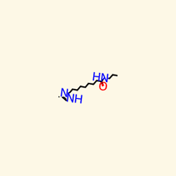 CCCNC(=O)CCCCCCCc1n[c]c[nH]1